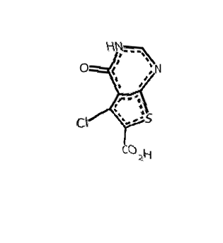 O=C(O)c1sc2nc[nH]c(=O)c2c1Cl